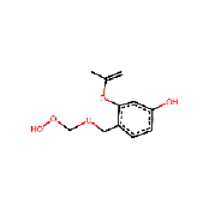 C=C(C)Oc1cc(O)ccc1COCOO